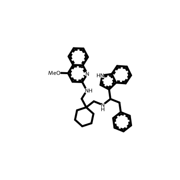 COc1cc(NCC2(CNC(Cc3ccccc3)c3c[nH]c4ccccc34)CCCCC2)nc2ccccc12